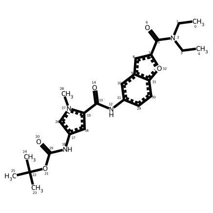 CCN(CC)C(=O)c1cc2cc(NC(=O)c3cc(NC(=O)OC(C)(C)C)cn3C)ccc2o1